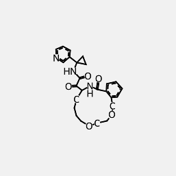 O=C(NC1(c2cccnc2)CC1)C(=O)C1CCCCOCCOCc2ccccc2C(=O)N1